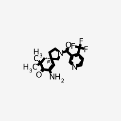 CC1(C)C[C@]2(C=C(N)C1=O)CCN(C(=O)c1cnccc1C(F)(F)F)C2